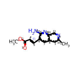 COC(=O)/C=C/c1cc2cc(C)ncc2nc1N